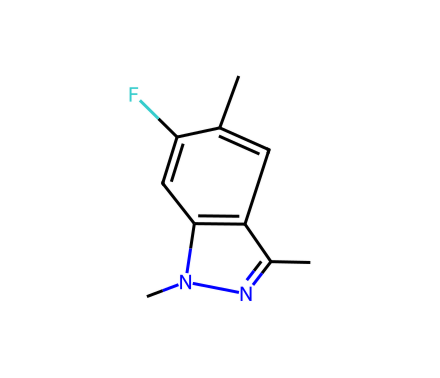 Cc1cc2c(C)nn(C)c2cc1F